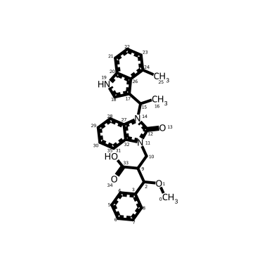 COC(c1ccccc1)C(Cn1c(=O)n(C(C)c2c[nH]c3cccc(C)c23)c2ccccc21)C(=O)O